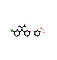 CC(C)c1cnc2c(C(F)(F)F)cccc2c1-c1cccc(Oc2cccc(S(C)(=O)=O)c2)c1